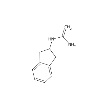 C=C(N)NC1Cc2ccccc2C1